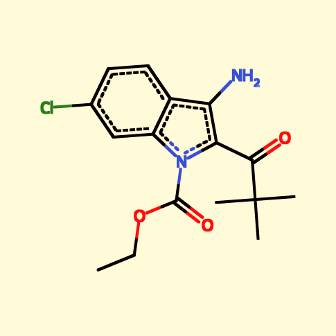 CCOC(=O)n1c(C(=O)C(C)(C)C)c(N)c2ccc(Cl)cc21